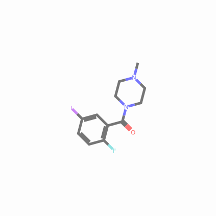 CN1CCN(C(=O)c2cc(I)ccc2F)CC1